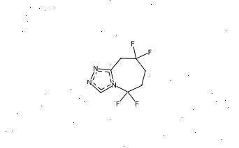 FC1(F)CCC(F)(F)n2cnnc2C1